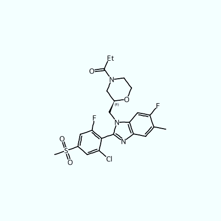 CCC(=O)N1CCO[C@@H](Cn2c(-c3c(F)cc(S(C)(=O)=O)cc3Cl)nc3cc(C)c(F)cc32)C1